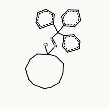 N#CC1(/N=N/C(c2ccccc2)(c2ccccc2)c2ccccc2)CCCCCCCCCCC1